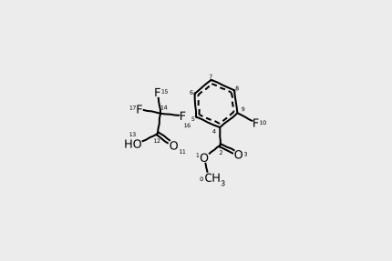 COC(=O)c1ccccc1F.O=C(O)C(F)(F)F